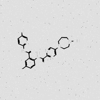 CN1CCCN(c2cnc(C(=O)Nc3ccc(Cl)cc3C(=O)Nc3ccc(Cl)cn3)nc2)CC1